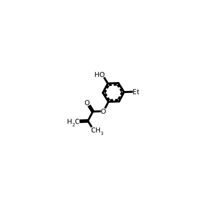 C=C(C)C(=O)Oc1cc(O)cc(CC)c1